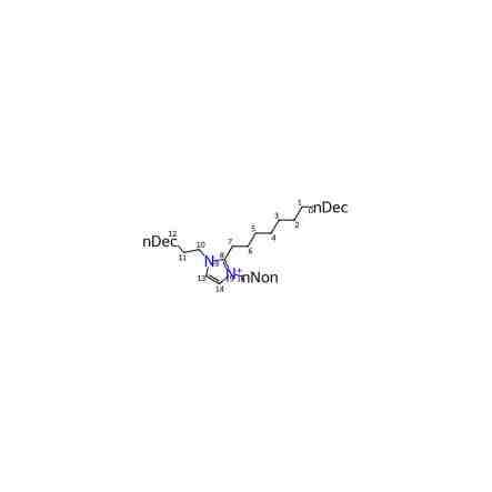 CCCCCCCCCCCCCCCCCc1n(CCCCCCCCCCCC)cc[n+]1CCCCCCCCC